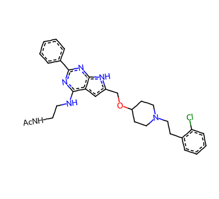 CC(=O)NCCNc1nc(-c2ccccc2)nc2[nH]c(COC3CCN(CCc4ccccc4Cl)CC3)cc12